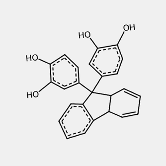 Oc1ccc(C2(c3ccc(O)c(O)c3)c3ccccc3C3C=CC=CC32)cc1O